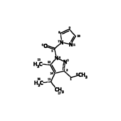 CCc1nn(C(=O)n2cccn2)c(C)c1C(C)C